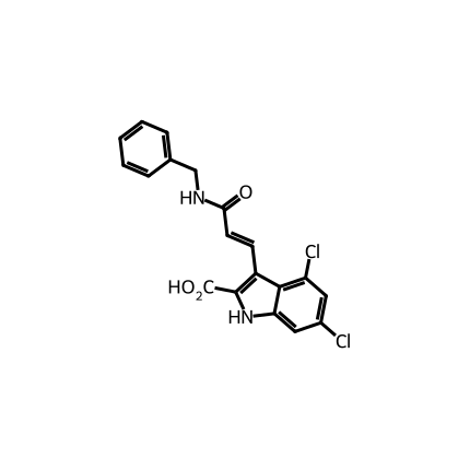 O=C(C=Cc1c(C(=O)O)[nH]c2cc(Cl)cc(Cl)c12)NCc1ccccc1